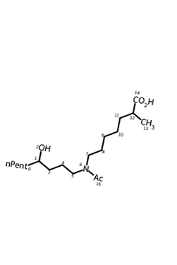 CCCCCC(O)CCCN(CCCCCC(C)C(=O)O)C(C)=O